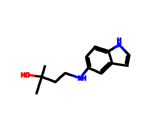 CC(C)(O)CCNc1ccc2[nH]ccc2c1